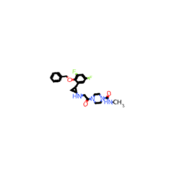 CNC(=O)N1CCN(C(=O)CNC2CC2c2cc(F)cc(F)c2OCc2ccccc2)CC1